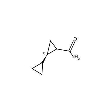 NC(=O)C1C[C@@H]1C1CC1